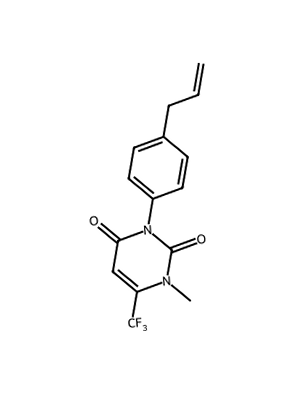 C=CCc1ccc(-n2c(=O)cc(C(F)(F)F)n(C)c2=O)cc1